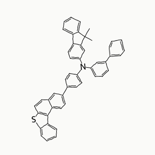 CC1(C)c2ccccc2-c2ccc(N(c3ccc(-c4ccc5c(ccc6sc7ccccc7c65)c4)cc3)c3cccc(-c4ccccc4)c3)cc21